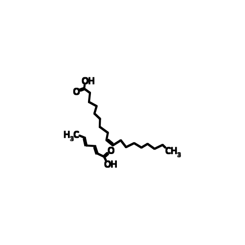 C/C=C/C=C/C(=O)O.CCCCCCCC/C=C\CCCCCCCC(=O)O